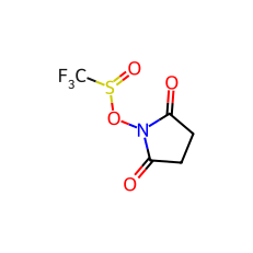 O=C1CCC(=O)N1OS(=O)C(F)(F)F